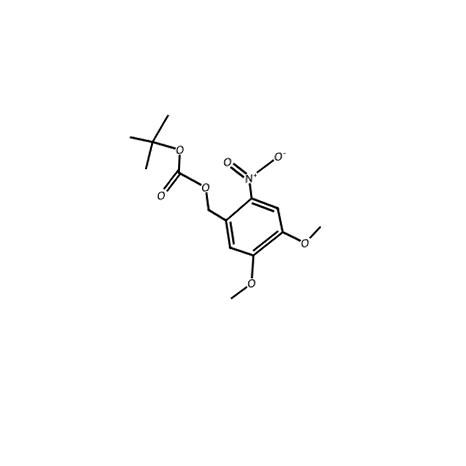 COc1cc(COC(=O)OC(C)(C)C)c([N+](=O)[O-])cc1OC